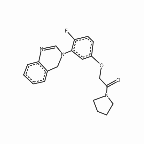 O=C(COc1ccc(F)c(N2C=Nc3ccccc3C2)c1)N1CCCC1